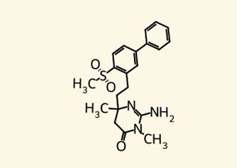 CN1C(=O)CC(C)(CCc2cc(-c3ccccc3)ccc2S(C)(=O)=O)N=C1N